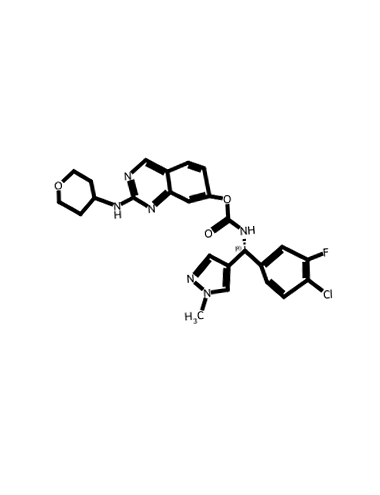 Cn1cc([C@H](NC(=O)Oc2ccc3cnc(NC4CCOCC4)nc3c2)c2ccc(Cl)c(F)c2)cn1